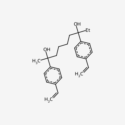 C=Cc1ccc(C(C)(O)CCCCC(O)(CC)c2ccc(C=C)cc2)cc1